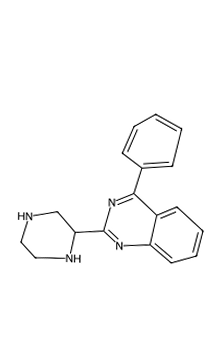 c1ccc(-c2nc(C3CNCCN3)nc3ccccc23)cc1